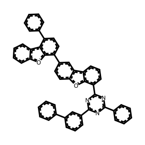 c1ccc(-c2cccc(-c3nc(-c4ccccc4)nc(-c4cccc5c4oc4ccc(-c6ccc(-c7ccccc7)c7c6oc6ccccc67)cc45)n3)c2)cc1